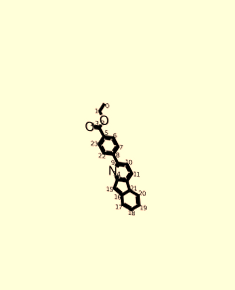 CCOC(=O)c1ccc(-c2ccc3c(n2)C=C2C=CC=CC23)cc1